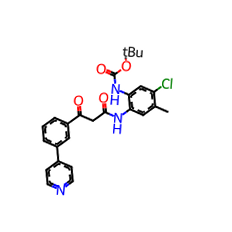 Cc1cc(NC(=O)CC(=O)c2cccc(-c3ccncc3)c2)c(NC(=O)OC(C)(C)C)cc1Cl